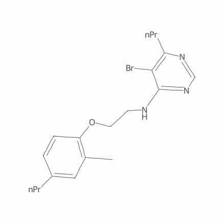 CCCc1ccc(OCCNc2ncnc(CCC)c2Br)c(C)c1